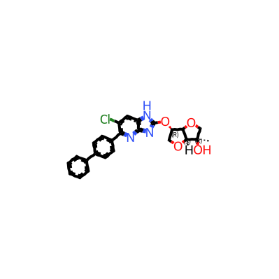 C[C@@]1(O)COC2[C@H](Oc3nc4nc(-c5ccc(-c6ccccc6)cc5)c(Cl)cc4[nH]3)CO[C@@H]21